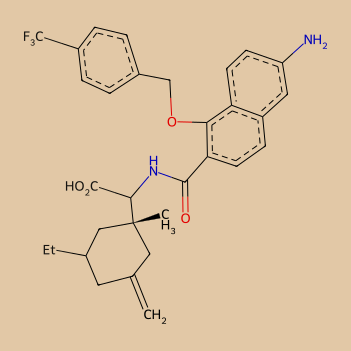 C=C1CC(CC)C[C@](C)(C(NC(=O)c2ccc3cc(N)ccc3c2OCc2ccc(C(F)(F)F)cc2)C(=O)O)C1